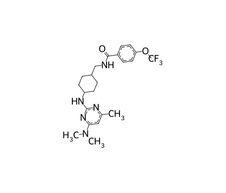 Cc1cc(N(C)C)nc(NC2CCC(CNC(=O)c3ccc(OC(F)(F)F)cc3)CC2)n1